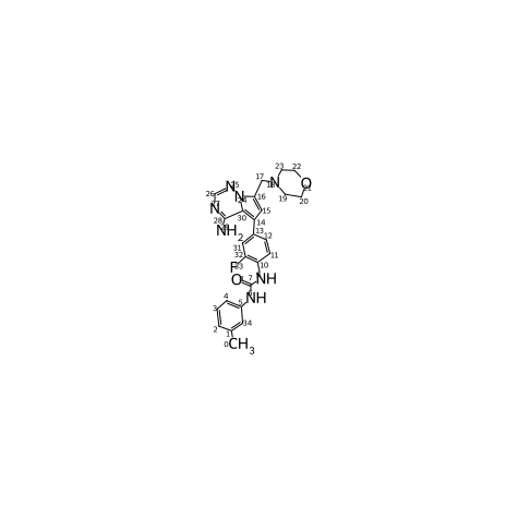 Cc1cccc(NC(=O)Nc2ccc(-c3cc(CN4CCOCC4)n4ncnc(N)c34)cc2F)c1